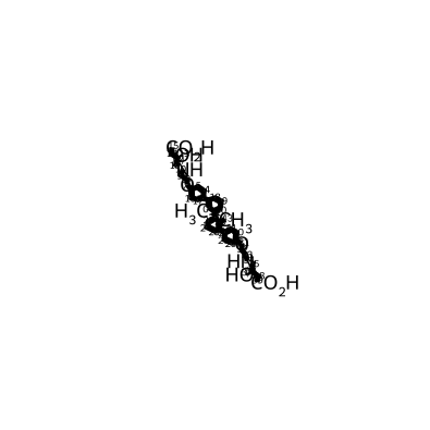 Cc1c(-c2ccc(OCCNC[C@H](O)CC(=O)O)cc2)cccc1-c1cccc(-c2ccc(OCCNC[C@H](O)CC(=O)O)cc2)c1C